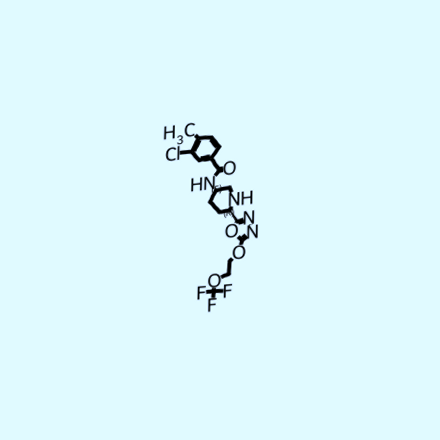 Cc1ccc(C(=O)N[C@H]2CC[C@H](c3nnc(OCCOC(F)(F)F)o3)NC2)cc1Cl